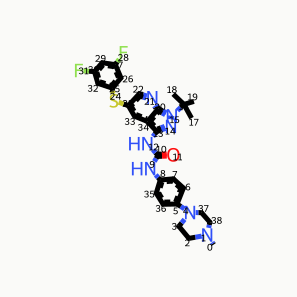 CN1CCN(c2ccc(NC(=O)Nc3nn(C(C)(C)C)c4ncc(Sc5cc(F)cc(F)c5)cc34)cc2)CC1